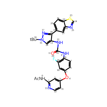 CC(=O)Nc1cc(Oc2ccc(NC(=O)Nc3cn(C(C)(C)C)nc3-c3ccc4scnc4c3)c(F)c2)ccn1